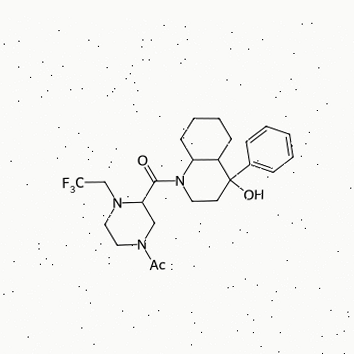 CC(=O)N1CCN(CC(F)(F)F)C(C(=O)N2CCC(O)(c3ccccc3)C3CCCCC32)C1